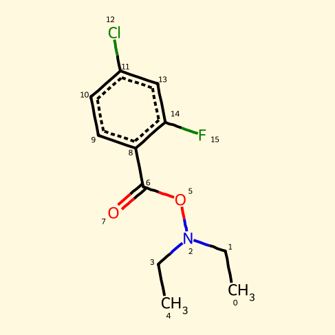 CCN(CC)OC(=O)c1ccc(Cl)cc1F